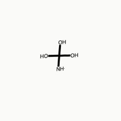 [NH]C(O)(O)O